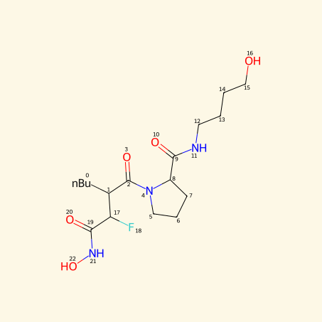 CCCCC(C(=O)N1CCCC1C(=O)NCCCCO)C(F)C(=O)NO